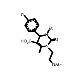 CCN1C(=O)N(CCOC)C(C)=C(C(=O)O)C1c1ccc(Cl)cc1